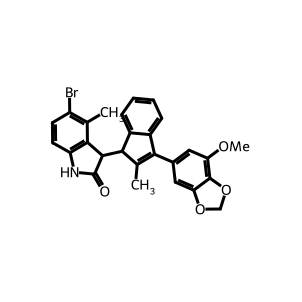 COc1cc(C2=C(C)C(C3C(=O)Nc4ccc(Br)c(C)c43)c3ccccc32)cc2c1OCO2